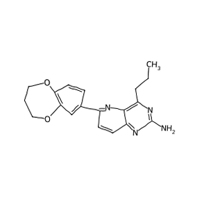 CCCc1nc(N)nc2ccc(-c3ccc4c(c3)OCCCO4)nc12